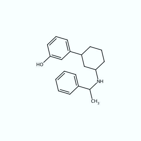 CC(NC1CCCC(c2cccc(O)c2)C1)c1ccccc1